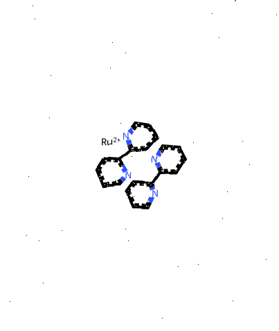 [Ru+2].c1ccc(-c2ccccn2)nc1.c1ccc(-c2ccccn2)nc1